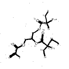 C=C(C)C(=O)OCC(COC(=O)C(C)(F)CC)OC(=O)C(F)(CC)CC